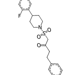 O=C(CCc1ccccc1)CS(=O)(=O)N1CCC(c2ccccc2F)CC1